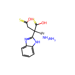 CC(C)C(CC(O)=S)(C(O)=S)c1nc2ccccc2[nH]1.N.N